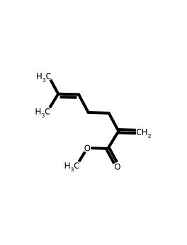 C=C(CCC=C(C)C)C(=O)OC